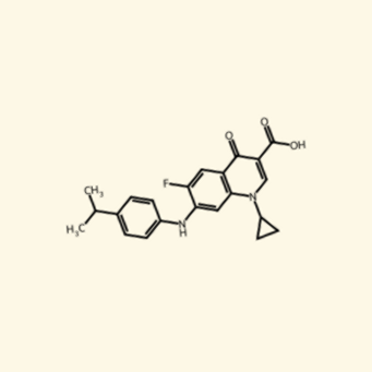 CC(C)c1ccc(Nc2cc3c(cc2F)c(=O)c(C(=O)O)cn3C2CC2)cc1